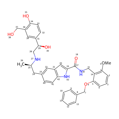 COc1cccc(OCc2ccccc2)c1CNC(=O)c1cc2cc(C[C@@H](C)NC[C@H](O)c3ccc(O)c(CO)c3)ccc2[nH]1